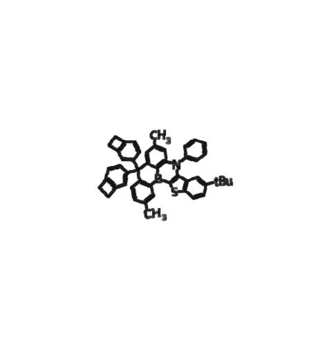 Cc1ccc2c(c1)B1c3sc4ccc(C(C)(C)C)cc4c3N(c3ccccc3)c3cc(C)cc(c31)C2(c1ccc2c(c1)CC2)c1ccc2c(c1)CC2